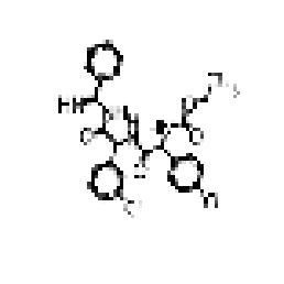 CCOC(=O)NC(C(=O)NC(C(=O)NC(=N)c1ccccc1)c1cccc(Cl)c1)c1ccc(Cl)cc1